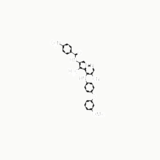 COc1cccc(Oc2ccc(Nc3c(C#N)cnn4cc(NC(=O)c5ccc([N+](=O)[O-])cc5)c(C)c34)cc2)c1